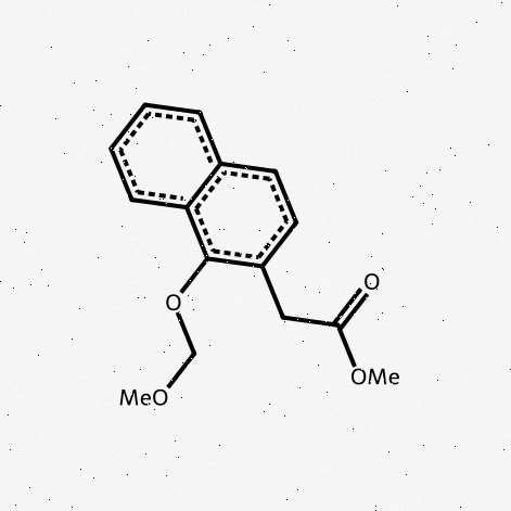 COCOc1c(CC(=O)OC)ccc2ccccc12